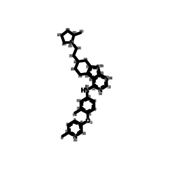 Cc1ccc(Oc2ccc(Nc3ncnc4sc5c(c34)CCC(CCN3CCCC3C)C5)cc2C)cn1